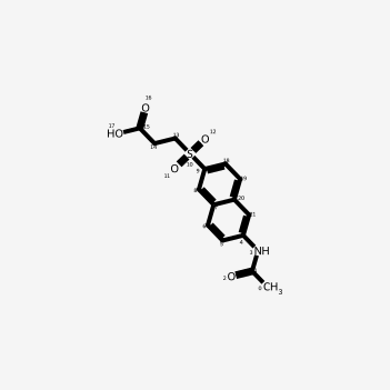 CC(=O)Nc1ccc2cc(S(=O)(=O)CCC(=O)O)ccc2c1